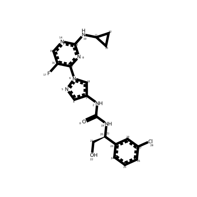 O=C(Nc1cnn(-c2nc(NC3CC3)ncc2F)c1)N[C@H](CO)c1cccc(Cl)c1